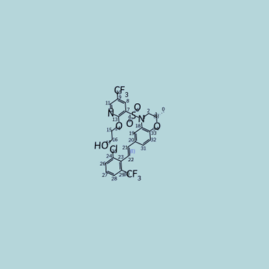 C[C@H]1CN(S(=O)(=O)c2cc(C(F)(F)F)cnc2OCCO)c2cc(/C=C/c3c(Cl)cccc3C(F)(F)F)ccc2O1